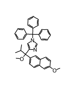 COc1ccc2cc(C(OC)(c3cn(C(c4ccccc4)(c4ccccc4)c4ccccc4)cn3)C(C)C)ccc2c1